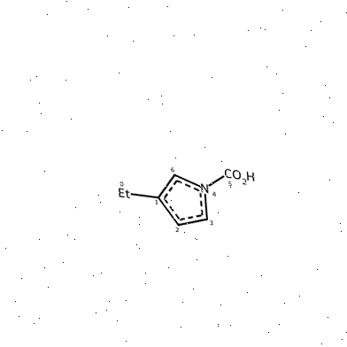 CCc1ccn(C(=O)O)c1